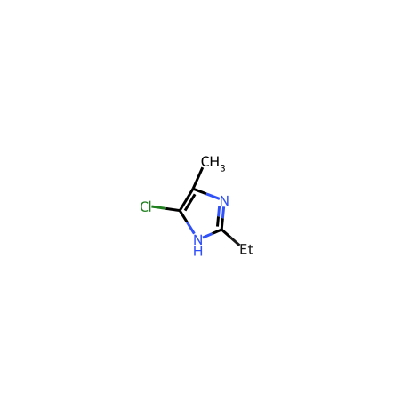 CCc1nc(C)c(Cl)[nH]1